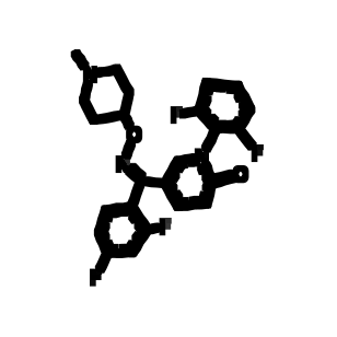 CN1CCC(O/N=C(\c2ccc(=O)n(-c3c(F)cccc3F)c2)c2ccc(F)cc2F)CC1